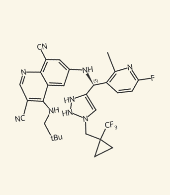 Cc1nc(F)ccc1[C@H](Nc1cc(C#N)c2ncc(C#N)c(NCC(C)(C)C)c2c1)C1=CN(CC2(C(F)(F)F)CC2)NN1